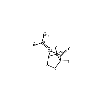 CC12CCC(CC1=O)C2(C)C.NC(=O)O